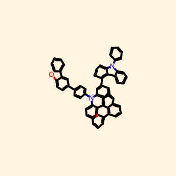 c1ccc(-c2cccc3cccc(-c4ccccc4N(c4ccc(-c5ccc6oc7ccccc7c6c5)cc4)c4cccc(-c5cccc6c5c5ccccc5n6-c5ccccc5)c4)c23)cc1